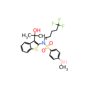 CBc1ccc(S(=O)(=O)N(CCCCC(F)(F)F)c2sc3ccccc3c2C(C)(C)O)cc1